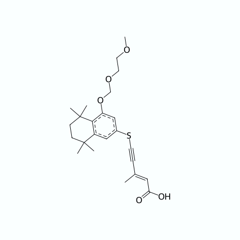 COCCOCOc1cc(SC#C/C(C)=C/C(=O)O)cc2c1C(C)(C)CCC2(C)C